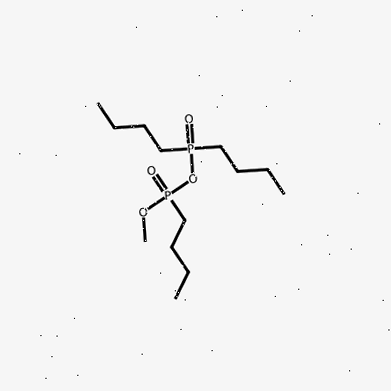 CCCCP(=O)(CCCC)OP(=O)(CCCC)OC